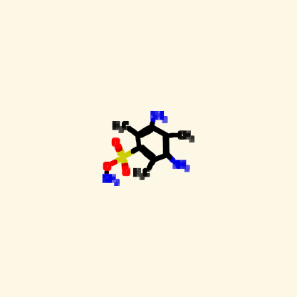 Cc1c(N)c(C)c(S(=O)(=O)ON)c(C)c1N